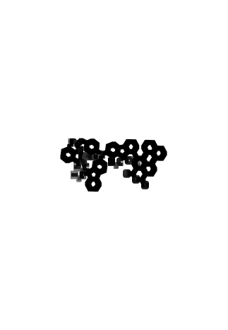 CCCCCC[N+]1(c2c(C(C)C)cccc2C(C)C)C=Cc2ccc(N(c3ccc4c(c3)C(C)(C)c3ccccc3-4)c3ccc4c(c3)C(C)(C)c3c-4cccc3-c3cc4c5c(ccc6c7cccc8cccc(c3c56)c87)C(=O)OC4=O)cc21